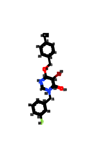 N#Cc1ccc(COc2ncn(Cc3cccc(F)c3)c(=O)c2Br)cc1